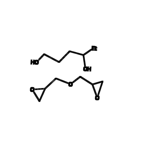 C(OCC1CO1)C1CO1.CCC(O)CCCO